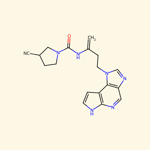 C=C(CCn1cnc2cnc3[nH]ccc3c21)NC(=O)N1CCC(C#N)C1